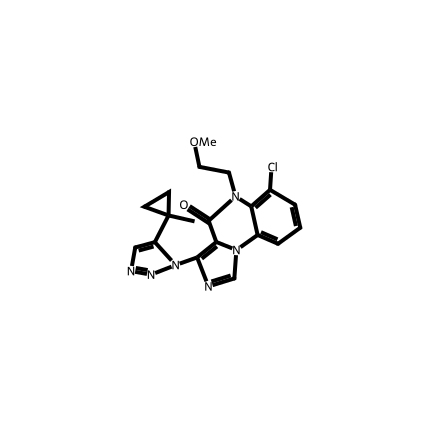 COCCn1c(=O)c2c(-n3nncc3C3(C)CC3)ncn2c2cccc(Cl)c21